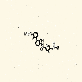 CNc1cccc(-c2cccc(NC(=O)c3cc(C)c(CNC4CC4)cn3)c2C)c1C